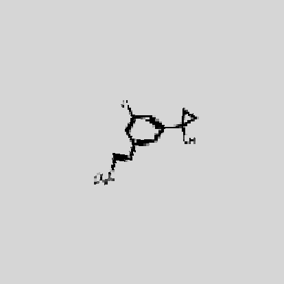 N#CC1(c2cc(Br)cc(/C=C/C(=O)O)c2)CC1